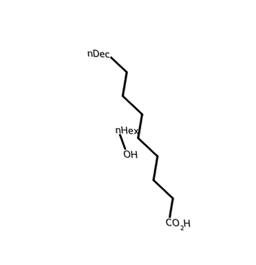 CCCCCCCCCCCCCCCCCC(=O)O.CCCCCCO